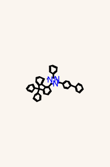 CN1C(c2ccccc2)N2C(c3ccc(-c4ccccc4)cc3)N2C1c1cccc2c1-c1ccccc1C2(c1ccccc1)c1ccccc1